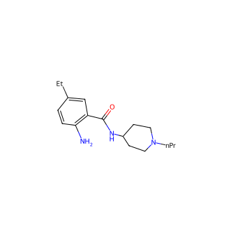 CCCN1CCC(NC(=O)c2cc(CC)ccc2N)CC1